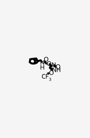 O=C(COc1cc(OCC(F)(F)F)[nH]c(=O)n1)NCC1CC2CCCC(C2)C1